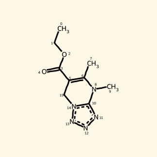 CCOC(=O)C1=C(C)N(C)c2nnnn2C1